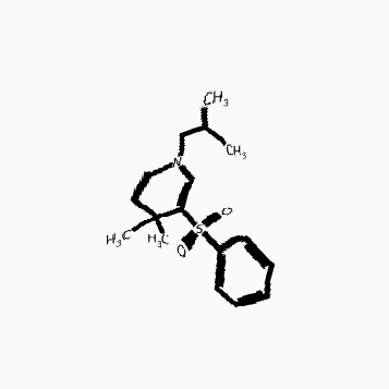 CC(C)CN1C=C(S(=O)(=O)c2ccccc2)C(C)(C)CC1